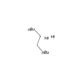 CCCCCCCCCC.I.I